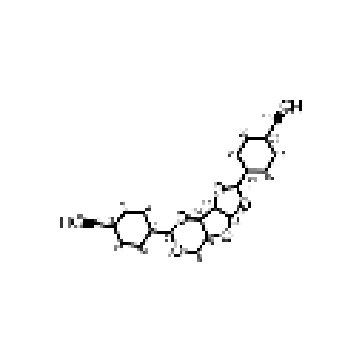 C#CC1CCC(C2OCC3OC4OC(C5CCC(C#C)CC5)OC4C3O2)CC1